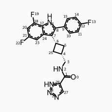 O=C(NC[C@H]1C[C@@H](c2c(-c3ccc(F)cc3)[nH]c3c(F)cc(F)cc32)C1)c1cnn[nH]1